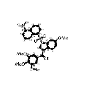 COc1ccc2c(C(=O)c3cc(OC)c(OC)c(OC)c3)cn(S(=O)(=O)c3cccc4c(N(C)C)cccc34)c2c1